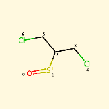 O=[S+]C(CCl)CCl